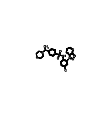 CC(c1ccc(S(=O)(=O)Nc2ccc(Cl)cc2-n2nnc3ncccc32)cc1)N1CCOCC1